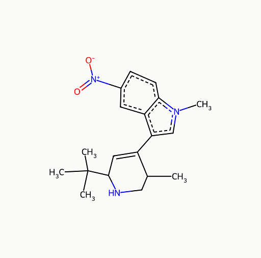 CC1CNC(C(C)(C)C)C=C1c1cn(C)c2ccc([N+](=O)[O-])cc12